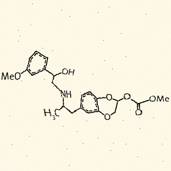 COC(=O)OC1COc2cc(CC(C)NCC(O)c3cccc(OC)c3)ccc2O1